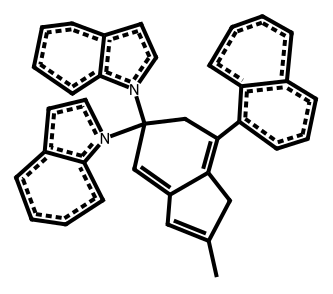 CC1=CC2=CC(n3ccc4ccccc43)(n3ccc4ccccc43)CC(c3cccc4ccccc34)=C2C1